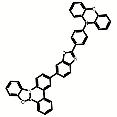 c1ccc2c(c1)OB1c3ccccc3-c3cc(-c4ccc5nc(-c6ccc(N7c8ccccc8Oc8ccccc87)cc6)oc5c4)ccc3N12